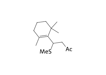 CSC(CC(C)=O)C1=C(C)CCCC1(C)C